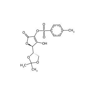 Cc1ccc(S(=O)(=O)OC2=C(O)[C@@H]([C@@H]3COC(C)(C)O3)OC2=O)cc1